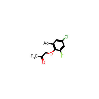 CC(=O)c1cc(Cl)cc(F)c1OCC(=O)C(F)(F)F